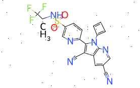 C[C@@H](NS(=O)(=O)c1ccc(-c2c(C#N)c3cc(C#N)cnc3n2C2=CC=C2)nc1)C(F)(F)F